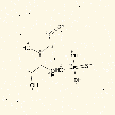 O=CCC(O)C(O)CO.OP(O)(O)=S